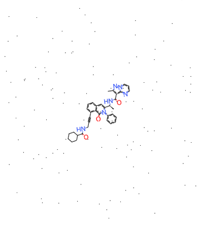 Cc1nn2cccnc2c1C(=O)N[C@@H](C)c1cc2cccc(C#CCNC(=O)C3CCCCC3)c2c(=O)n1-c1ccccc1